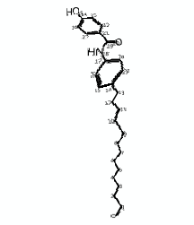 CCCCCCCCCCCCCCc1ccc(NC(=O)c2ccc(O)cc2)cc1